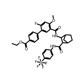 CCOC(=O)c1ccc(-c2cc(C(=O)NC3C4CCC(C4)C3C(=O)Nc3ccc(S(F)(F)(F)(F)F)cc3)c(OC)cc2F)cc1